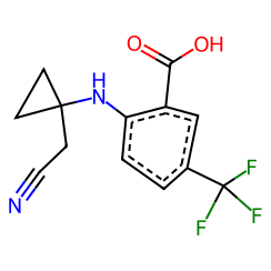 N#CCC1(Nc2ccc(C(F)(F)F)cc2C(=O)O)CC1